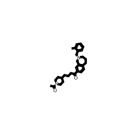 CC(=O)N1CCC(CCCC(=O)c2ccc3c(c2)CN(Cc2ccccc2C)CCC3)CC1